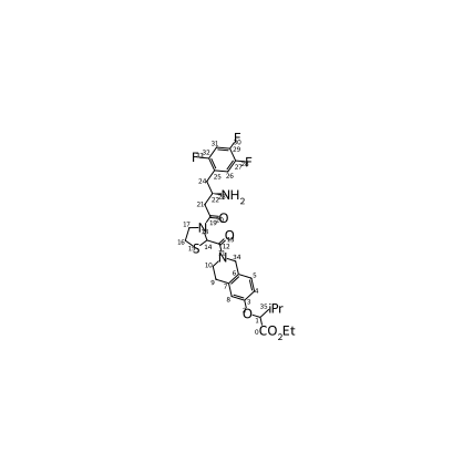 CCOC(=O)C(Oc1ccc2c(c1)CCN(C(=O)C1SCCN1C(=O)C[C@H](N)Cc1cc(F)c(F)cc1F)C2)C(C)C